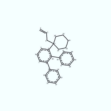 C=CCC1(c2cccc(-c3ccccc3)c2-c2ccccc2)CCCCC1